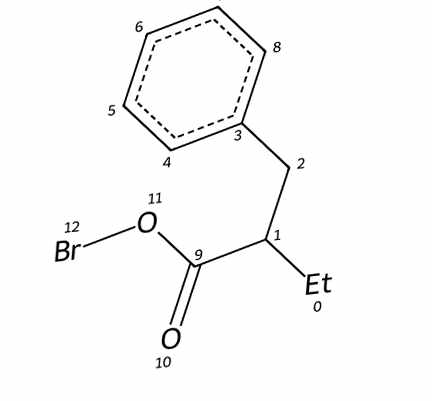 CCC(Cc1ccccc1)C(=O)OBr